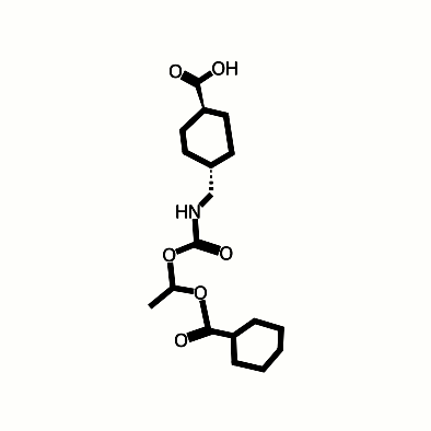 CC(OC(=O)NC[C@H]1CC[C@H](C(=O)O)CC1)OC(=O)C1CCCCC1